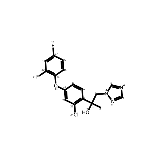 CC(O)(Cn1cncn1)c1ccc(Oc2ccc(F)cc2F)cc1Cl